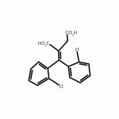 O=C(O)CC(C(=O)O)=C(c1ccccc1Cl)c1ccccc1Cl